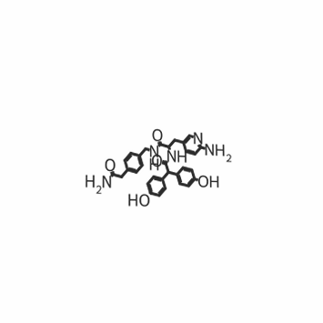 NC(=O)Cc1ccc(CNC(=O)C(Cc2ccc(N)nc2)NC(=O)C(c2ccc(O)cc2)c2ccc(O)cc2)cc1